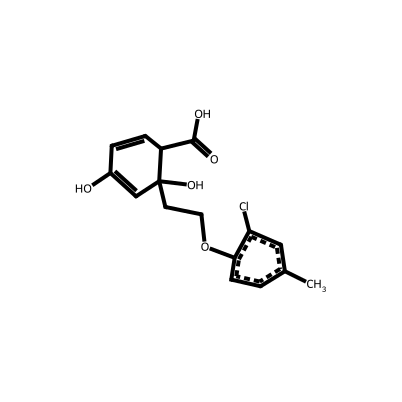 Cc1ccc(OCCC2(O)C=C(O)C=CC2C(=O)O)c(Cl)c1